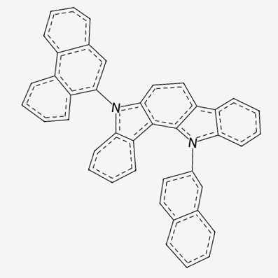 c1ccc2cc(-n3c4ccccc4c4ccc5c(c6ccccc6n5-c5cc6ccccc6c6ccccc56)c43)ccc2c1